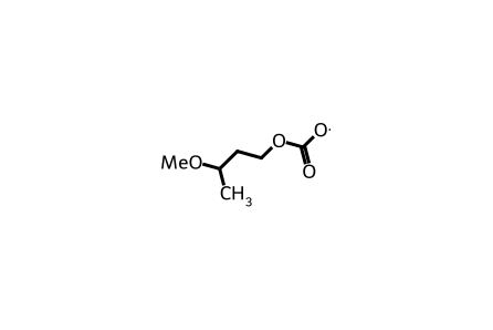 COC(C)CCOC([O])=O